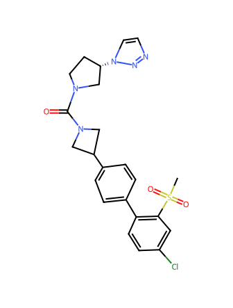 CS(=O)(=O)c1cc(Cl)ccc1-c1ccc(C2CN(C(=O)N3CC[C@H](n4ccnn4)C3)C2)cc1